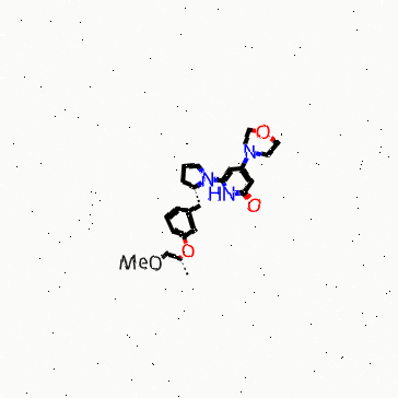 COC[C@@H](C)Oc1cccc(C[C@@H]2CCCN2c2cc(N3CCOCC3)cc(=O)[nH]2)c1